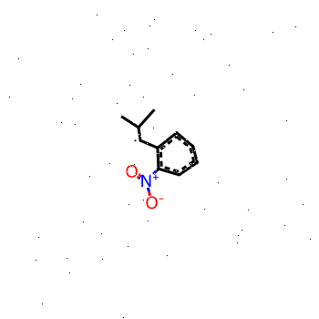 CC(C)[CH]c1ccccc1[N+](=O)[O-]